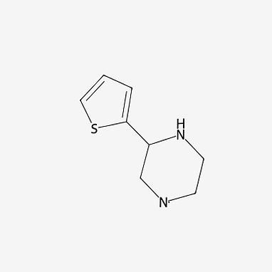 c1csc(C2C[N]CCN2)c1